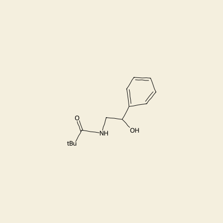 CC(C)(C)C(=O)NCC(O)c1ccccc1